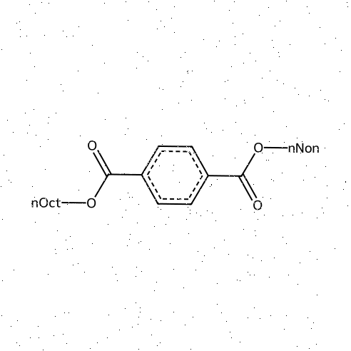 CCCCCCCCCOC(=O)c1ccc(C(=O)OCCCCCCCC)cc1